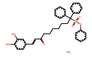 O=C(/C=C/c1ccc(O)c(O)c1)CCCCCCC(c1ccccc1)(c1ccccc1)S(=O)(=O)Oc1ccccc1.P